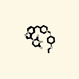 CCO[C@H]1CC[C@H](CN2CCC(Cc3ccn4ncc(N5CCC(=O)NC5=O)c4c3)CC2)CC1